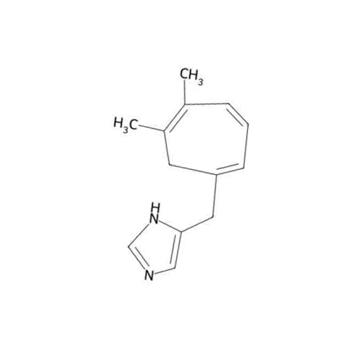 CC1=C(C)CC(Cc2cnc[nH]2)=CC=C1